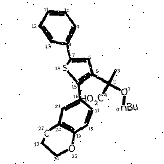 CCCCOC(C)(C(=O)O)c1cc(-c2ccccc2)sc1-c1ccc2c(c1)CCCO2